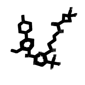 CCc1cc(N2CCN(C)CC2)ccc1Nc1ncc(C(F)(F)F)c(NCCCNC(=O)C2CC(F)(F)C2)n1